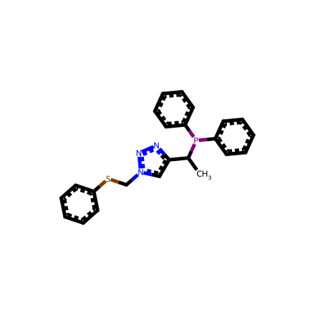 CC(c1cn(CSc2ccccc2)nn1)P(c1ccccc1)c1ccccc1